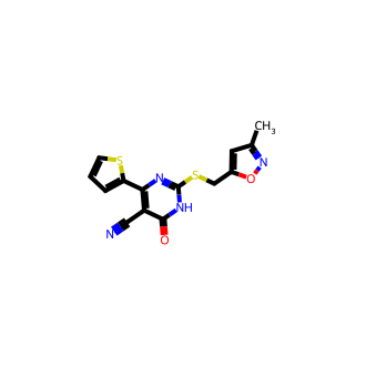 Cc1cc(CSc2nc(-c3cccs3)c(C#N)c(=O)[nH]2)on1